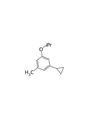 Cc1cc(OC(C)C)cc(C2CC2)c1